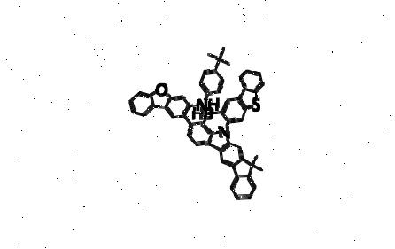 CC(C)(C)c1ccc(Nc2cc3oc4ccccc4c3cc2-c2ccc3c4cc5c(cc4n4c3c2Bc2cc3c(cc2-4)sc2ccccc23)C(C)(C)c2ccccc2-5)cc1